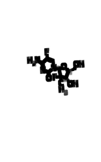 CC1(F)[C@@H](O)[C@@H](CO)O[C@H]1n1cc(F)c(N)nc1=O